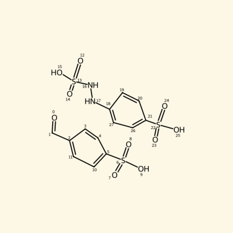 O=Cc1ccc(S(=O)(=O)O)cc1.O=S(=O)(O)NNc1ccc(S(=O)(=O)O)cc1